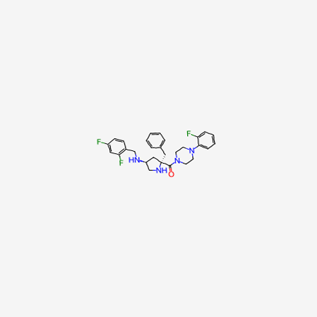 O=C(N1CCN(c2ccccc2F)CC1)[C@]1(Cc2ccccc2)C[C@H](NCc2ccc(F)cc2F)CN1